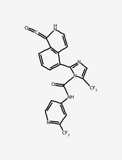 O=C=C1NC=Cc2c1cccc2-c1ncc(C(F)(F)F)n1C(=O)Nc1ccnc(C(F)(F)F)c1